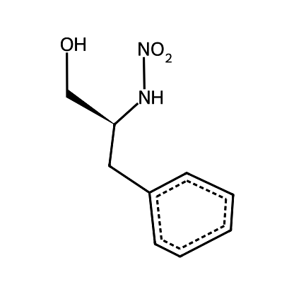 O=[N+]([O-])N[C@H](CO)Cc1ccccc1